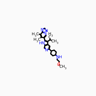 COCCNC1CCC(c2cc3c(C(C)C)c(-c4cn5ncnc5c(C)c4C)[nH]c3cn2)CC1